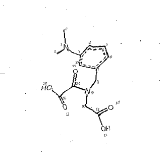 CN(C)c1cccc(CN(CC(=O)O)C(=O)C(=O)O)c1